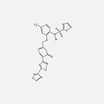 CC(C)N(c1ccc(C(F)(F)F)cc1OCC1=CC=C(c2nsc(-c3ncsn3)n2)C(=O)C1)S(=O)(=O)c1nccs1